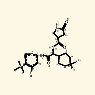 C[Si](C)(C)c1ccc(NC(=O)C(NC(=O)C2CNC(=O)C2)C2CCC(F)(F)CC2)cc1F